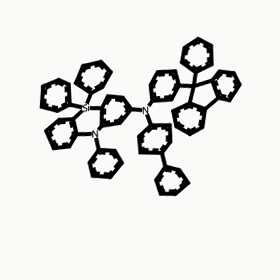 c1ccc(-c2ccc(N(c3cccc(C4(c5ccccc5)c5ccccc5-c5ccccc54)c3)c3ccc4c(c3)N(c3ccccc3)c3ccccc3[Si]4(c3ccccc3)c3ccccc3)cc2)cc1